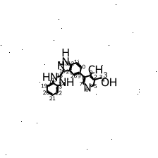 Cc1c(CO)cncc1-c1ccc2[nH]nc(C3Nc4ccccc4N3)c2c1